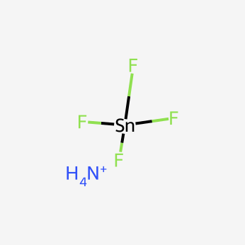 [F][Sn]([F])([F])[F].[NH4+]